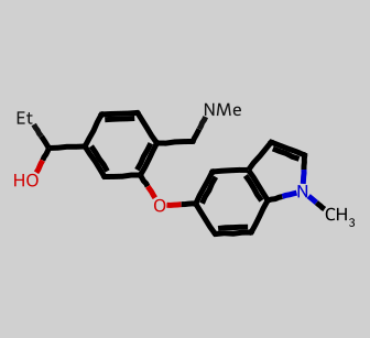 CCC(O)c1ccc(CNC)c(Oc2ccc3c(ccn3C)c2)c1